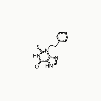 O=c1[nH]c(=S)n(CCc2ccccc2)c2nc[nH]c12